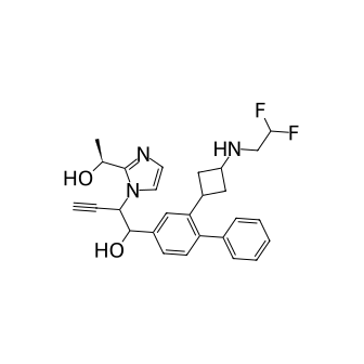 C#CC(C(O)c1ccc(-c2ccccc2)c(C2CC(NCC(F)F)C2)c1)n1ccnc1[C@H](C)O